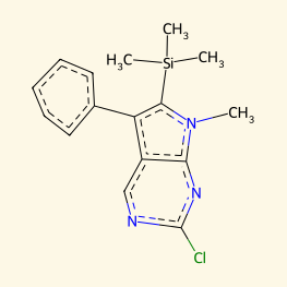 Cn1c([Si](C)(C)C)c(-c2ccccc2)c2cnc(Cl)nc21